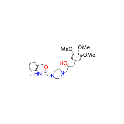 COc1cc(CC(O)CN2CCN(CC(=O)Nc3c(C)cccc3C)CC2)cc(OC)c1OC